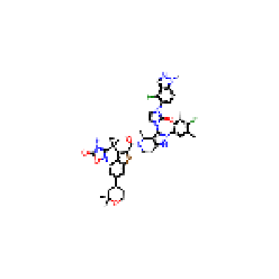 Cc1cc(-n2nc3c(c2-n2ccn(-c4ccc5c(cnn5C)c4F)c2=O)[C@H](C)N(C(=O)c2sc4cc(C5CCOC(C)(C)C5)ccc4c2C2(c4noc(=O)[nH]4)C[C@@H]2C)CC3)cc(C)c1F